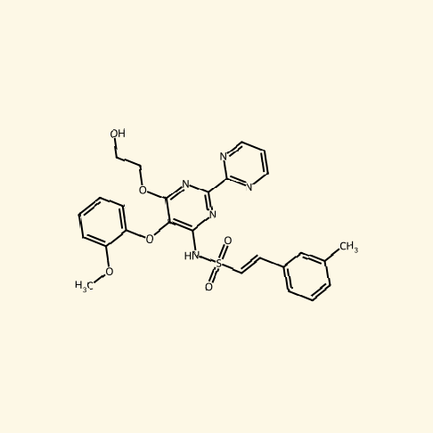 COc1ccccc1Oc1c(NS(=O)(=O)C=Cc2cccc(C)c2)nc(-c2ncccn2)nc1OCCO